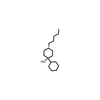 CCCCC[C@H]1CC[C@](O)(C2CCCCC2)CC1